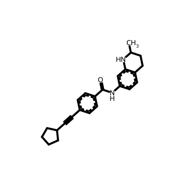 CC1CCc2ccc(NC(=O)c3ccc(C#CC4CCCC4)cc3)cc2N1